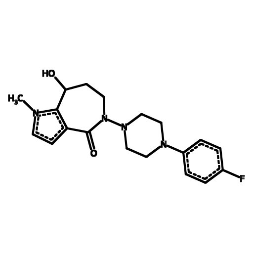 Cn1ccc2c1C(O)CCN(N1CCN(c3ccc(F)cc3)CC1)C2=O